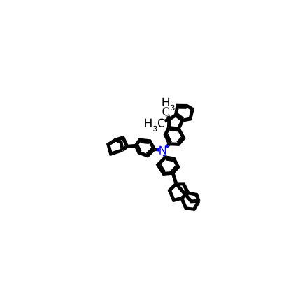 CC1(C)C2=C(CCC=C2)c2ccc(N(c3ccc(C4CC5CCC4C5)cc3)c3ccc(C45CCC6CCC(CC6C4)C5)cc3)cc21